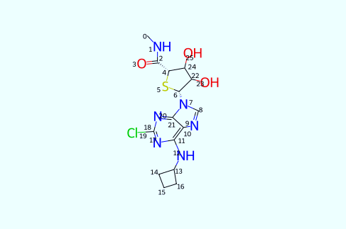 CNC(=O)[C@H]1S[C@@H](n2cnc3c(NC4CCC4)nc(Cl)nc32)C(O)C1O